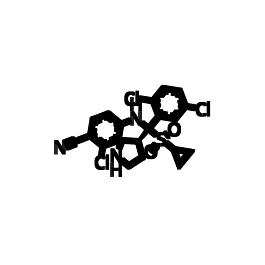 N#Cc1ccc(NC(c2cc(Cl)ccc2Cl)([C@H]2CCNC2)S(=O)(=O)C2CC2)cc1Cl